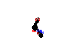 COC(=O)CCCC=C1C[C@H]2C[C@@H](O)[C@H](/C=N/NC(=O)Nc3ccccc3)[C@H]2C1